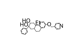 CCC12CC(O)C(O)(c3ccccc3)CC1CCc1cc(OCc3ccncc3)ccc12